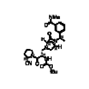 CNC(=O)c1cccc([C@@H](C)N2C(=O)[C@@H]3C[C@H]2CN3C[C@H](NC(=O)OC(C)(C)C)C(=O)N2CCC[C@H]2C#N)c1